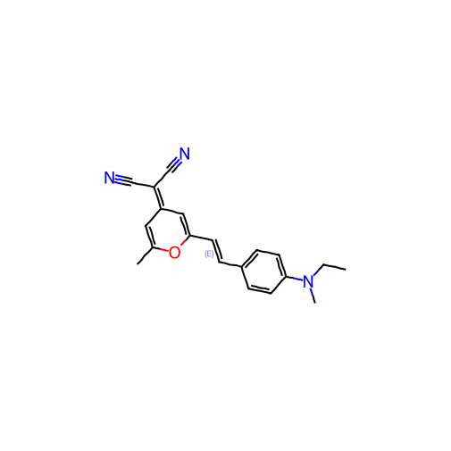 CCN(C)c1ccc(/C=C/C2=CC(=C(C#N)C#N)C=C(C)O2)cc1